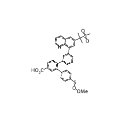 COOSc1ccc(-c2cc(C(=O)O)ccc2-c2cccc(-c3cc(C(C)(C)S(C)(=O)=O)cc4cccnc34)c2)cc1